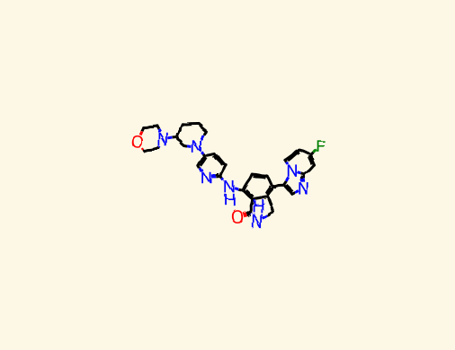 O=C1NCc2c(-c3cnc4cc(F)ccn34)ccc(Nc3ccc(N4CCCC(N5CCOCC5)C4)cn3)c21